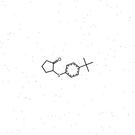 CC(C)(C)c1ccc(SC2CCCC2=O)cc1